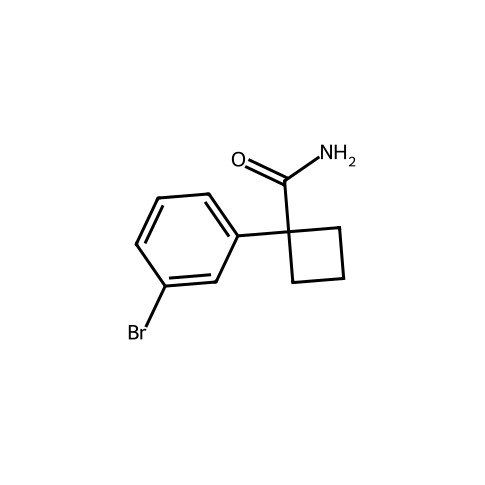 NC(=O)C1(c2cccc(Br)c2)CCC1